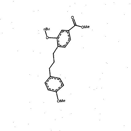 CCCCOc1cc(C(=O)OC)ccc1CCCc1ccc(OC)cc1